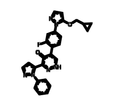 O=c1c(-c2ccc(-n3nccc3OCC3CC3)cc2F)c[nH]nc1-c1ccnn1-c1ccccc1